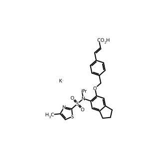 Cc1csc(S(=O)(=O)N(c2cc3c(cc2OCc2ccc(C=CC(=O)O)cc2)CCC3)C(C)C)n1.[K]